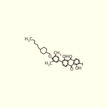 CCCCCC1CCC(COc2c(C)cc(-c3ccc4c(c3O)C(=O)c3ccc(I)c(O)c3C4=O)cc2C)CC1